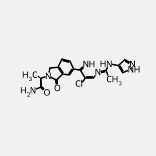 C/C(=N\C=C(\Cl)C(=N)c1ccc2c(c1)C(=O)N([C@H](C)C(N)=O)C2)Nc1cn[nH]c1